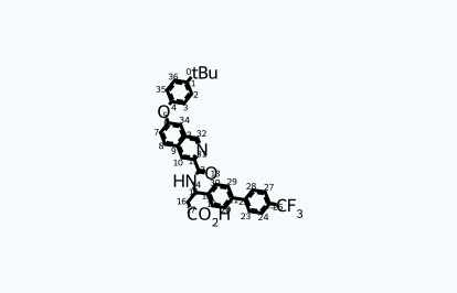 CC(C)(C)c1ccc(Oc2ccc3cc(C(=O)NC(CC(=O)O)c4ccc(-c5ccc(C(F)(F)F)cc5)cc4)ncc3c2)cc1